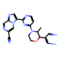 CC1C(/C(C=N)=C/N)OCCN1c1ccnc(-c2cnc3cnc(C#N)cn23)n1